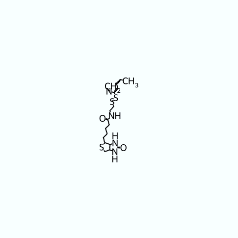 C=N/C(=C\C=C/C)SSCCNC(=O)CCCCC1SCC2NC(=O)NC21